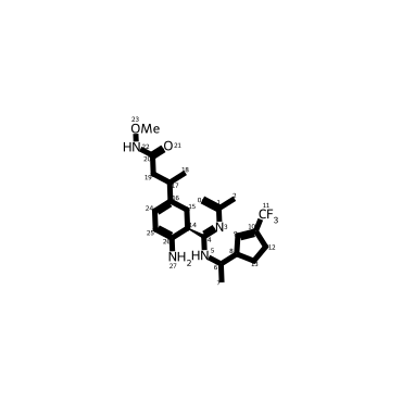 C=C(C)/N=C(/NC(C)C1C=C(C(F)(F)F)CC1)[C@@H]1CC(C(C)CC(=O)NOC)=CC=C1N